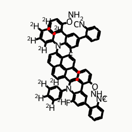 [2H]c1c([2H])c([2H])c(N(c2c(F)cc(-c3ccccc3[N+]#[C-])cc2-c2ccccc2ON)c2ccc3ccc4c(N(c5c(F)cc(-c6ccccc6[N+]#[C-])cc5-c5ccccc5ON)c5c([2H])c([2H])c([2H])c([2H])c5[2H])ccc5ccc2c3c54)c([2H])c1[2H]